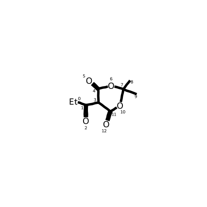 CCC(=O)C1C(=O)OC(C)(C)OC1=O